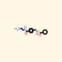 NCCNC(=O)c1ccc(CNSC(=O)C2CCCCC2)cc1